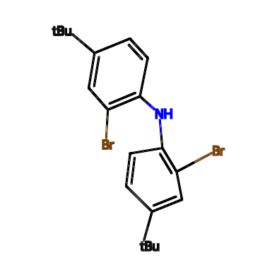 CC(C)(C)c1ccc(Nc2ccc(C(C)(C)C)cc2Br)c(Br)c1